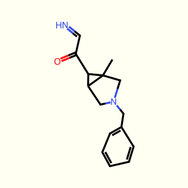 CC12CN(Cc3ccccc3)CC1C2C(=O)C=N